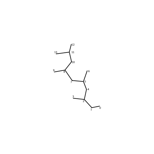 CCC(C)CC(C)CC(C)CC(C)C